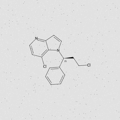 ClCC[C@@H](c1ccccc1)n1ccc2nccc(Cl)c21